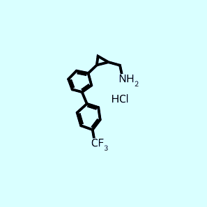 Cl.NCC1CC1c1cccc(-c2ccc(C(F)(F)F)cc2)c1